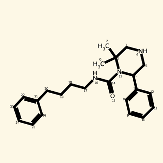 CC1(C)CNCC(c2ccccc2)N1C(=O)NCCCCc1ccccc1